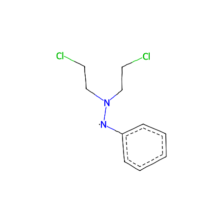 ClCCN(CCCl)[N]c1ccccc1